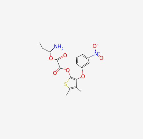 CCC(N)OC(=O)C(=O)Oc1sc(C)c(C)c1Oc1cccc([N+](=O)[O-])c1